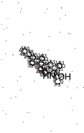 OC1CC=CC=C1C1=NC(c2ccccc2)=C(C2=CC(c3c4ccccc4c(-c4cccc5c6c(ccc45)=CC4CC=CC=C4C=6)c4ccccc34)=CCC2)C(c2ccccc2)N1